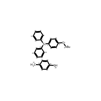 CCCCOc1ccc([S+](c2ccccc2)c2ccccc2)cc1.Cc1ccc(S)cc1